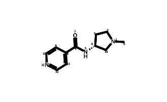 CN1CC[C@@H](NC(=O)c2ccncc2)C1